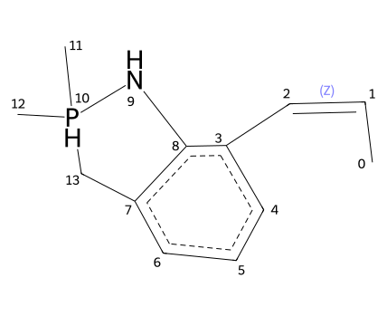 C/C=C\c1cccc2c1N[PH](C)(C)C2